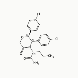 CCC[C@H](C(N)=O)N1C(=O)CO[C@@H](c2ccc(Cl)cc2)[C@H]1c1ccc(Cl)cc1